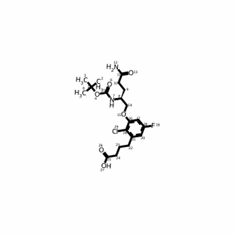 CC(C)(C)OC(=O)N[C@@H](CCC(N)=O)COc1cc(F)cc(CCCC(=O)O)c1Cl